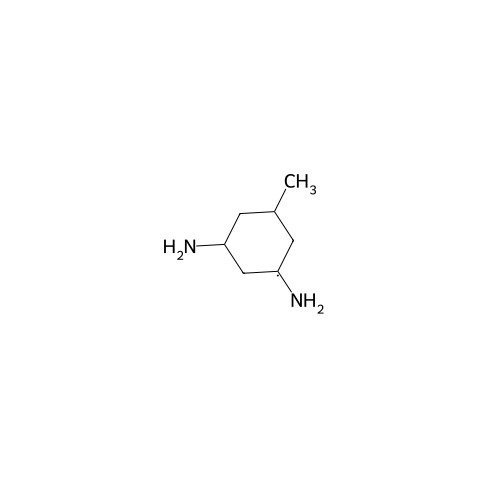 CC1C[C](N)CC(N)C1